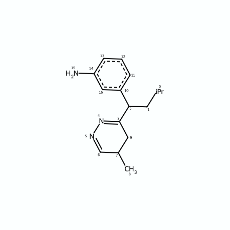 CC(C)CC(C1=NN=CC(C)C1)c1cccc(N)c1